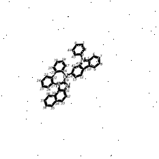 c1ccc(-n2c3ccccc3c3ccc(N4c5ccccc5-c5ccccc5-n5c4nc4ccc6ccccc6c45)cc32)cc1